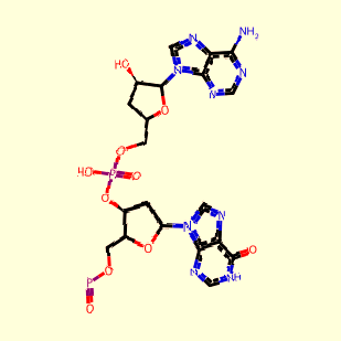 Nc1ncnc2c1ncn2C1OC(COP(=O)(O)O[C@H]2CC(n3cnc4c(=O)[nH]cnc43)OC2COP=O)C[C@H]1O